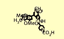 COc1cc(-c2cn(C)c(=O)c3cc(NC(=O)C4CCN(C(=O)O)CC4)sc23)cc(OC)c1CN(C)C